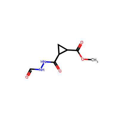 COC(=O)C1CC1C(=O)NNC=O